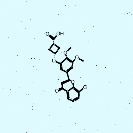 COc1cc(-c2cc(=O)c3cccc(Cl)c3o2)cc(O[C@H]2C[C@@H](C(=O)O)C2)c1OC